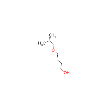 C=C(C)COCCCCO